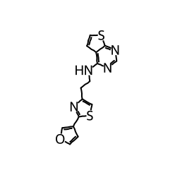 c1nc(NCCc2csc(-c3ccoc3)n2)c2ccsc2n1